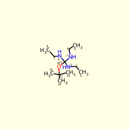 CCNC(NCC)(NCC)OC(C)(C)C